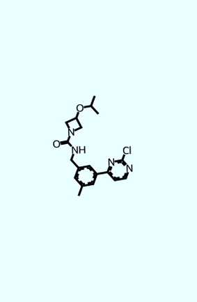 Cc1cc(CNC(=O)N2CC(OC(C)C)C2)cc(-c2ccnc(Cl)n2)c1